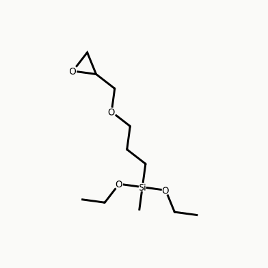 CCO[Si](C)(CCCOCC1CO1)OCC